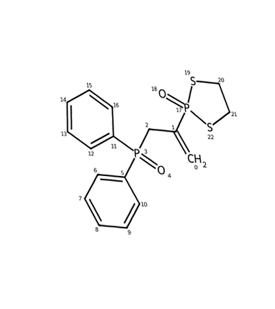 C=C(CP(=O)(c1ccccc1)c1ccccc1)P1(=O)SCCS1